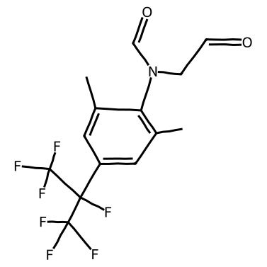 Cc1cc(C(F)(C(F)(F)F)C(F)(F)F)cc(C)c1N(C=O)CC=O